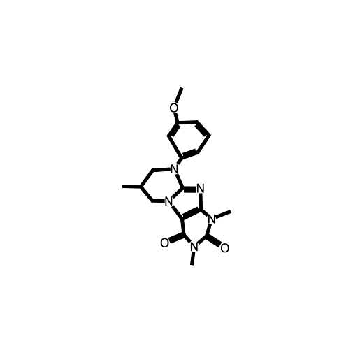 COc1cccc(N2CC(C)Cn3c2nc2c3c(=O)n(C)c(=O)n2C)c1